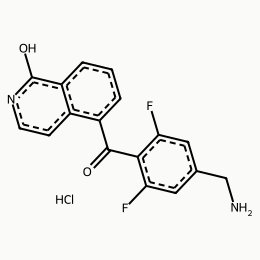 Cl.NCc1cc(F)c(C(=O)c2cccc3c(O)nccc23)c(F)c1